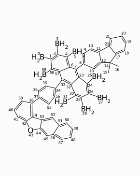 Bc1c(B)c(B)c2c(-c3ccc4c(c3)C(C)(C)c3ccccc3-4)c3c(B)c(B)c(B)c(B)c3c(-c3ccc(-c4cccc5oc6cc7ccccc7cc6c45)cc3)c2c1B